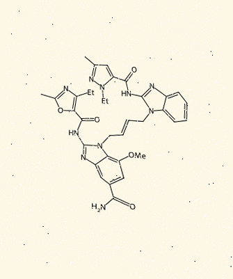 CCc1nc(C)oc1C(=O)Nc1nc2cc(C(N)=O)cc(OC)c2n1C/C=C/Cn1c(NC(=O)c2cc(C)nn2CC)nc2ccccc21